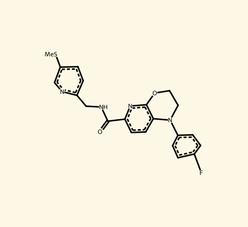 CSc1ccc(CNC(=O)c2ccc3c(n2)OCCN3c2ccc(F)cc2)nc1